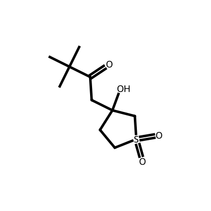 CC(C)(C)C(=O)CC1(O)CCS(=O)(=O)C1